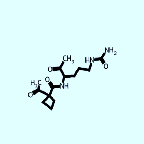 CC(=O)C(CCCNC(N)=O)NC(=O)C1(C(C)=O)CCC1